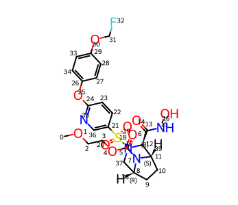 COCCOC(=O)N1[C@@H]2CC[C@H]1[C@H](C(=O)NO)N(S(=O)(=O)c1ccc(Oc3ccc(OCF)cc3)nc1)C2